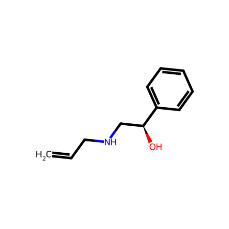 C=CCNC[C@H](O)c1ccccc1